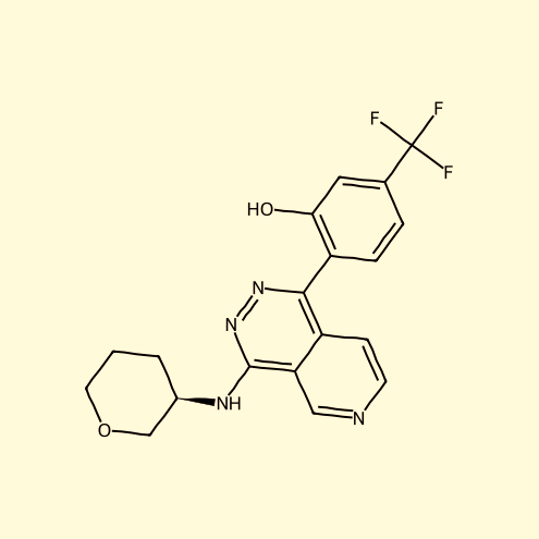 Oc1cc(C(F)(F)F)ccc1-c1nnc(N[C@@H]2CCCOC2)c2cnccc12